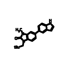 Cn1c(=O)n(CC(C)(C)C)c2ccc(-c3ccc4[nH]ccc4c3)cc21